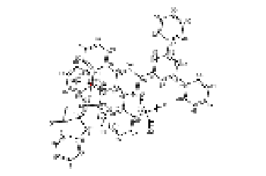 CC1(C)c2ccccc2-c2ccc3c(c21)c1ccccc1n3-c1c(-c2ccccc2C(F)(F)F)cc(-c2cc(-c3ccccc3)nc(-c3ccccc3)n2)cc1-c1ccccc1C(F)(F)F